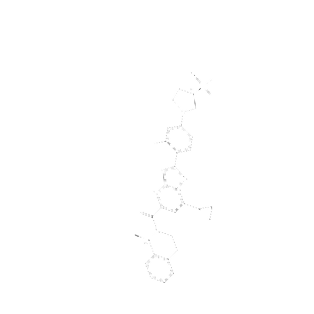 C[C@@H]1c2ccccc2CCN1C(=O)c1cc(C2CC2)n2nc(-c3ccc(N4CC[C@@H](S(C)(=N)=O)C4)cc3F)cc2n1